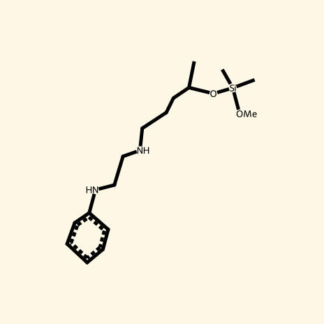 CO[Si](C)(C)OC(C)CCCNCCNc1ccccc1